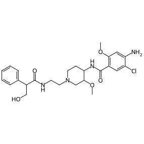 COc1cc(N)c(Cl)cc1C(=O)NC1CCN(CCNC(=O)C(CO)c2ccccc2)CC1OC